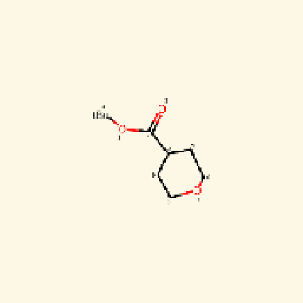 CC(C)(C)OC(=O)[C]1CCOCC1